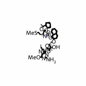 COc1nc(N)nc2c1nc(I)n2[C@@H]1O[C@H](COc2ccc3ccccc3c2O/[P+]([O-])=N/[C@@H](CCSC)C(=O)O[C@@H](C)c2ccccc2)[C@@H](O)[C@@]1(C)O